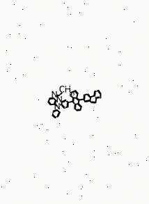 CCc1nc2cccc3c2n1-c1cc(-c2c4ccccc4c(-c4ccc5c(ccc6ccccc65)c4)c4ccccc24)ccc1N3c1ccccc1